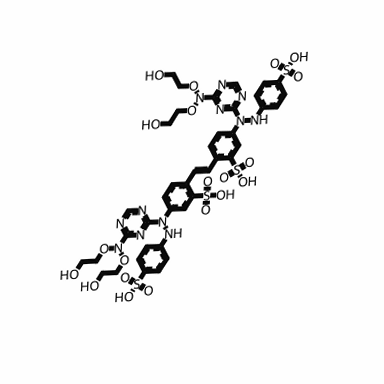 O=S(=O)(O)c1ccc(NN(c2ccc(C=Cc3ccc(N(Nc4ccc(S(=O)(=O)O)cc4)c4ncnc(N(OCCO)OCCO)n4)cc3S(=O)(=O)O)c(S(=O)(=O)O)c2)c2ncnc(N(OCCO)OCCO)n2)cc1